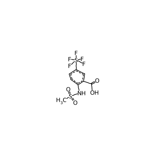 CS(=O)(=O)Nc1ccc(S(F)(F)(F)(F)F)cc1C(=O)O